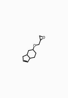 C1=CC2CCC(OCC3CO3)CC2C1